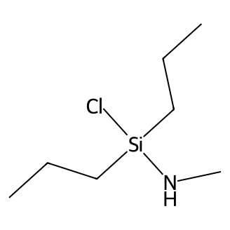 CCC[Si](Cl)(CCC)NC